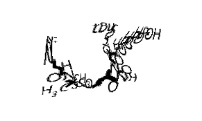 CC(C)(C)SSCO[C@@H]1C[C@H](n2cc(C#CCOCSSC(C)(C)CNC(=O)CCCN=[N+]=[N-])c(=O)[nH]c2=O)O[C@@H]1COPOPOPO